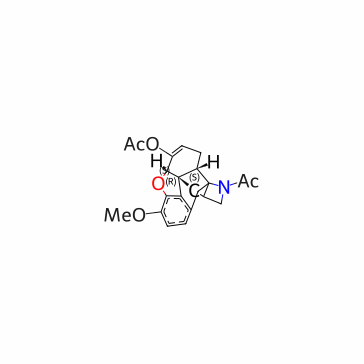 COc1ccc2c3c1O[C@@H]1C(OC(C)=O)=CC[C@@H]4C5(C2)C(CN5C(C)=O)C[C@@]314